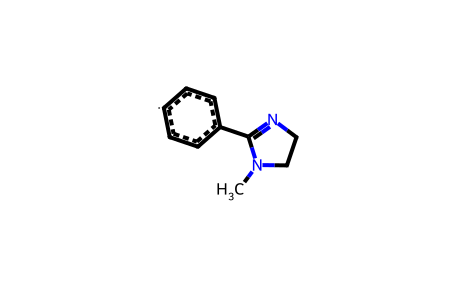 CN1CCN=C1c1cc[c]cc1